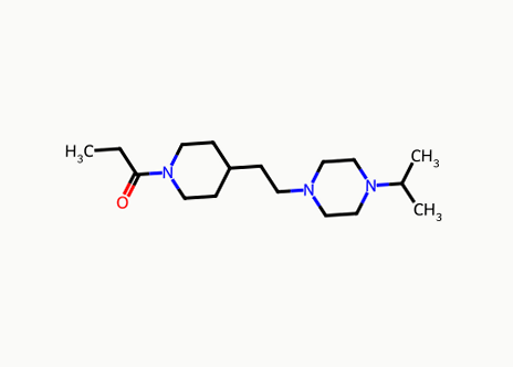 CCC(=O)N1CCC(CCN2CCN(C(C)C)CC2)CC1